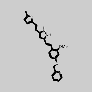 COc1cc(OCc2ccccn2)ccc1/C=C/C1C=C(/C=C/c2ccc(C)o2)NN1